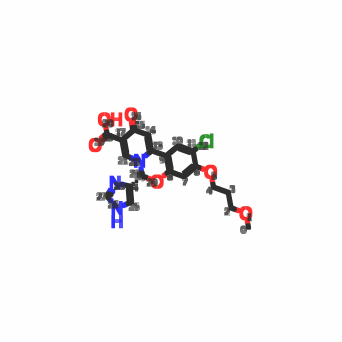 COCCCOc1cc2c(cc1Cl)-c1cc(=O)c(C(=O)O)cn1[C@@H](c1c[nH]cn1)O2